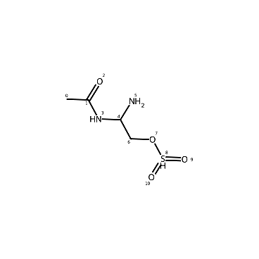 CC(=O)NC(N)CO[SH](=O)=O